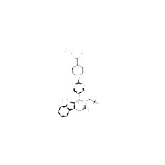 CCCCOC(OCCCC)C1CCN(c2ncc([C@@H]3c4[nH]c5ccccc5c4C[C@@H](C)N3CC(C)(C)F)cn2)CC1